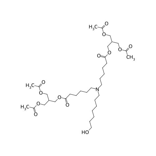 CC(=O)OCC(COC(C)=O)COC(=O)CCCCCN(CCCCCCCO)CCCCCC(=O)OCC(COC(C)=O)COC(C)=O